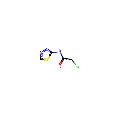 O=C(CCl)Nc1nncs1